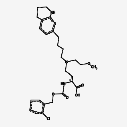 COCCN(CCCCc1ccc2c(n1)NCCC2)CC[C@H](NC(=O)OCc1ccccc1Cl)C(=O)O